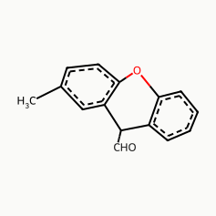 Cc1ccc2c(c1)C(C=O)c1ccccc1O2